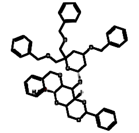 CO[C@H]1OC2COC(c3ccccc3)O[C@H]2C(O[C@H]2CC(OCc3ccccc3)CC(COCc3ccccc3)(COCc3ccccc3)O2)C1OCc1ccccc1